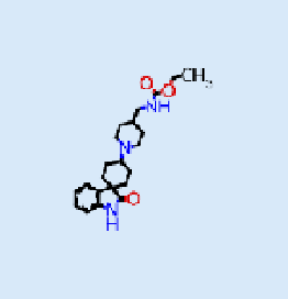 CCOC(=O)NCC1CCN(C2CCC3(CC2)C(=O)Nc2ccccc23)CC1